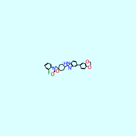 O=C1OC2(CCC(c3nc4cc(-c5ccc6c(c5)OCCO6)ccc4[nH]3)CC2)CN1c1ccccc1F